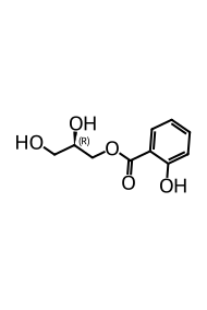 O=C(OC[C@H](O)CO)c1ccccc1O